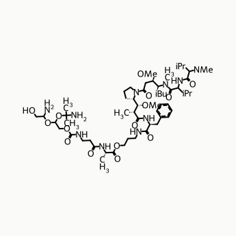 CC[C@H](C)C([C@@H](CC(=O)N1CCC[C@H]1[C@H](OC)[C@@H](C)C(=O)N[C@@H](Cc1ccccc1)C(=O)NCCCOC(=O)[C@H](C)NC(=O)CCNC(=O)OCC(OC(N)CO)OC(C)(C)N)OC)N(C)C(=O)C(NC(=O)C(NC)C(C)C)C(C)C